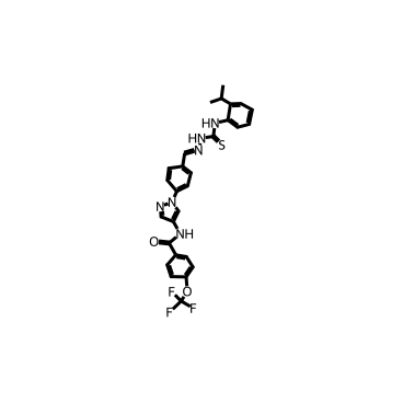 CC(C)c1ccccc1NC(=S)N/N=C/c1ccc(-n2cc(NC(=O)c3ccc(OC(F)(F)F)cc3)cn2)cc1